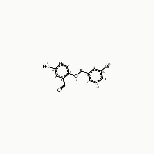 O=Cc1cc(O)ncc1OCc1cncc(Br)c1